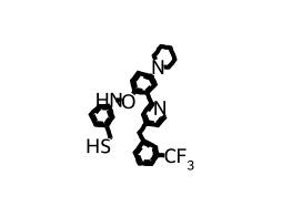 FC(F)(F)c1cccc(Cc2ccnc(-c3cc(N4CCCCC4)ccc3ONc3cccc(CS)c3)c2)c1